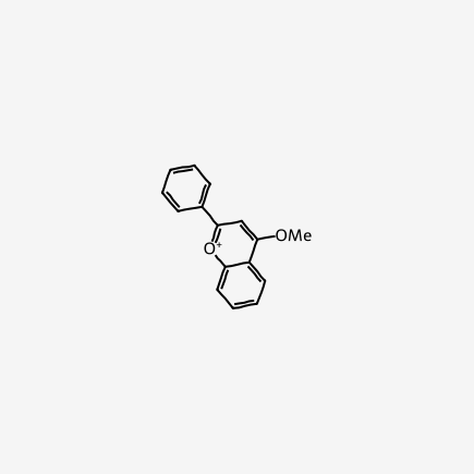 COc1cc(-c2ccccc2)[o+]c2ccccc12